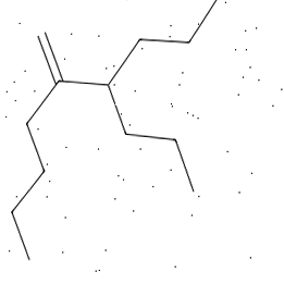 C=C(CCCC)C(CCC)CCCC